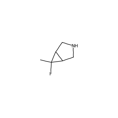 CC1(F)C2CNCC21